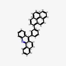 c1cc(-c2c3ccccc3nc3c2ccc2ccccc23)cc(-c2ccc3ccc4cccc5ccc2c3c45)c1